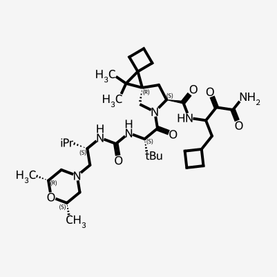 CC(C)[C@@H](CN1C[C@@H](C)O[C@@H](C)C1)NC(=O)N[C@H](C(=O)N1C[C@]2(C[C@H]1C(=O)NC(CC1CCC1)C(=O)C(N)=O)C(C)(C)C21CCC1)C(C)(C)C